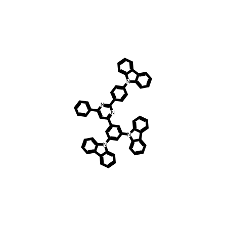 c1ccc(-c2cc(-c3cc(-n4c5ccccc5c5ccccc54)cc(-n4c5ccccc5c5ccccc54)c3)nc(-c3ccc(-n4c5ccccc5c5ccccc54)cc3)n2)cc1